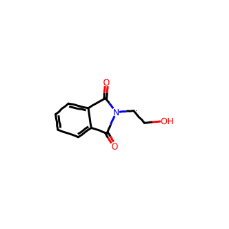 O=C1c2ccccc2C(=O)N1[CH]CO